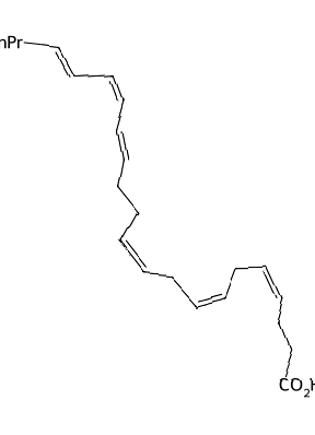 CCC/C=C/C=C\C=C\CC/C=C\C/C=C\C/C=C\CCC(=O)O